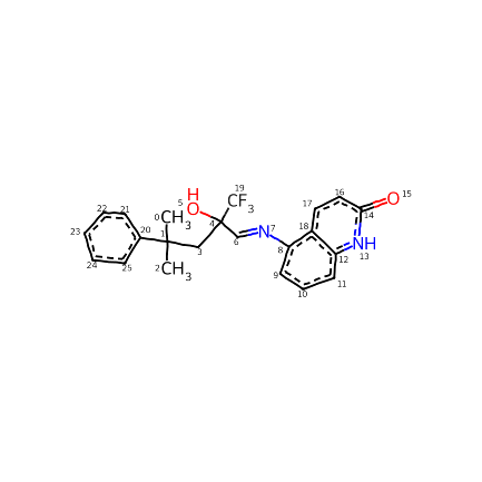 CC(C)(CC(O)(C=Nc1cccc2[nH]c(=O)ccc12)C(F)(F)F)c1ccccc1